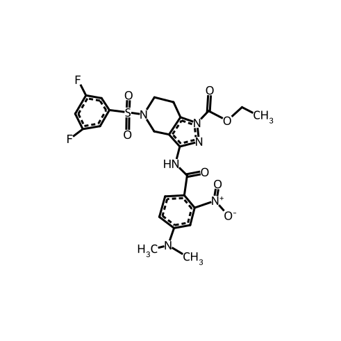 CCOC(=O)n1nc(NC(=O)c2ccc(N(C)C)cc2[N+](=O)[O-])c2c1CCN(S(=O)(=O)c1cc(F)cc(F)c1)C2